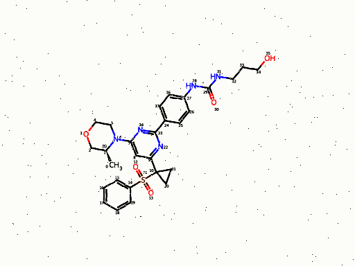 C[C@H]1COCCN1c1cc(C2(S(=O)(=O)c3ccccc3)CC2)nc(-c2ccc(NC(=O)NCCCO)cc2)n1